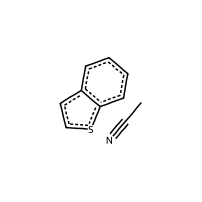 CC#N.c1ccc2sccc2c1